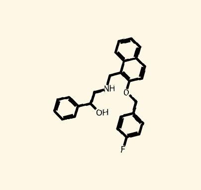 OC(CNCc1c(OCc2ccc(F)cc2)ccc2ccccc12)c1ccccc1